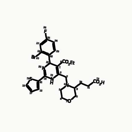 CCOC(=O)C1=C(CN2CCOCC2CCC(=O)O)NC(c2cccs2)=NC1c1ccc(F)cc1Br